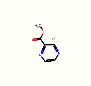 COC(=O)c1cnccn1.Cl